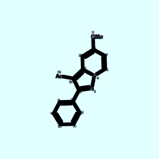 COc1ccn2nc(-c3ccccc3)c(C(C)=O)c2c1